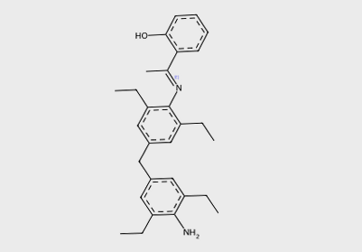 CCc1cc(Cc2cc(CC)c(/N=C(\C)c3ccccc3O)c(CC)c2)cc(CC)c1N